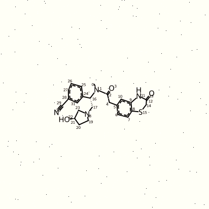 CN(C(=O)Cc1ccc2c(c1)NC(=O)CS2)[C@H](CN1CC[C@@H](O)C1)c1cccc(C#N)c1